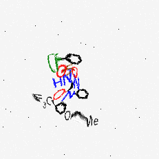 COc1ccc(C(Oc2nc3ccccc3nc2NS(=O)(=O)c2ccccc2Cl)C(F)(F)F)cc1